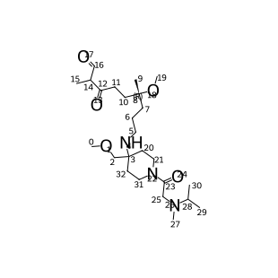 COCC1(NCCC[C@](C)(CCC(=O)C(C)C=O)OC)CCN(C(=O)CN(C)C(C)C)CC1